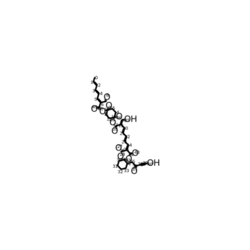 C/C=C/C=C/C=C1C(=O)OC2(CCC3(CC2)OC(=O)C(/C=C/C=C/C=C2C(=O)OC4(CCCCC4CC(=O)C#CO)OC2=O)=C(O)O3)OC1=O